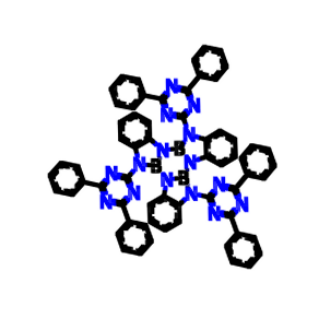 c1ccc(-c2nc(-c3ccccc3)nc(N3B4N(B5N(B6N4c4ccccc4N6c4nc(-c6ccccc6)nc(-c6ccccc6)n4)c4ccccc4N5c4nc(-c5ccccc5)nc(-c5ccccc5)n4)c4ccccc43)n2)cc1